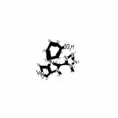 Cn1nnnc1-c1nc2c(n1C)CNC2.O=S(=O)(O)c1ccccc1